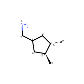 C[C@H]1C[C](CN)C[C@@H]1C